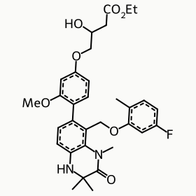 CCOC(=O)CC(O)COc1ccc(-c2ccc3c(c2COc2cc(F)ccc2C)N(C)C(=O)C(C)(C)N3)c(OC)c1